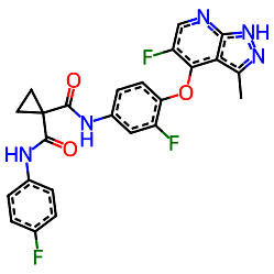 Cc1n[nH]c2ncc(F)c(Oc3ccc(NC(=O)C4(C(=O)Nc5ccc(F)cc5)CC4)cc3F)c12